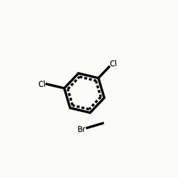 CBr.Clc1cccc(Cl)c1